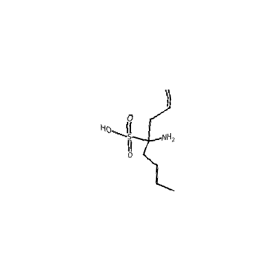 C=CCC(N)(CCCC)S(=O)(=O)O